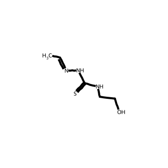 CC=NNC(=S)NCCO